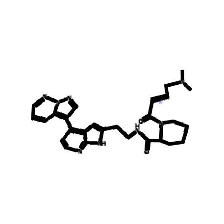 CN(C)C/C=C/C(=O)N1CCCCC1C(=O)NCCc1cc2c(-c3cnn4ncccc34)ccnc2[nH]1